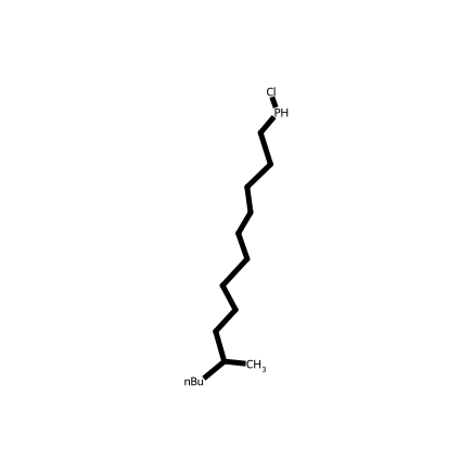 CCCCC(C)CCCCCCCCCPCl